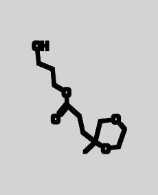 CC1(CCC(=O)OCCCO)COCCO1